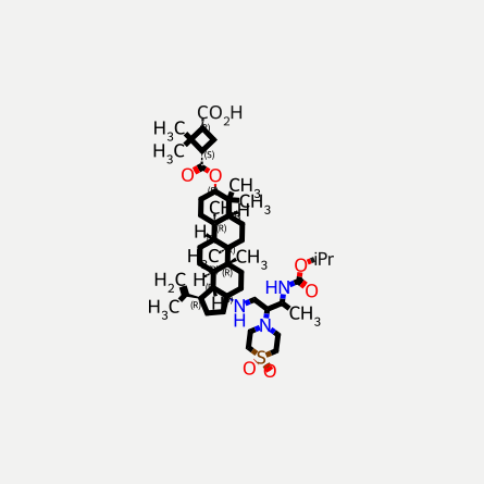 C=C(C)[C@@H]1CC[C@]2(NCC(C(C)NC(=O)OC(C)C)N3CCS(=O)(=O)CC3)CC[C@]3(C)[C@H](CC[C@@H]4[C@@]5(C)CC[C@H](OC(=O)[C@H]6C[C@@H](C(=O)O)C6(C)C)C(C)(C)[C@@H]5CC[C@]43C)[C@@H]12